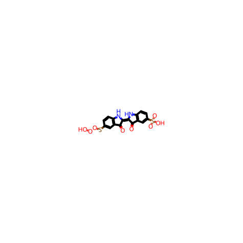 O=C1/C(=C2/Nc3ccc(S(=O)(=O)O)cc3C2=O)Nc2ccc(SOOO)cc21